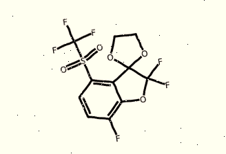 O=S(=O)(c1ccc(F)c2c1C1(OCCO1)C(F)(F)O2)C(F)(F)F